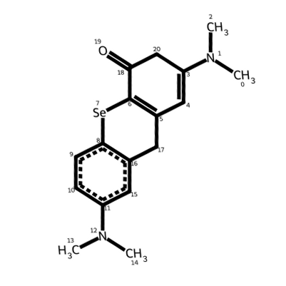 CN(C)C1=CC2=C([Se]c3ccc(N(C)C)cc3C2)C(=O)C1